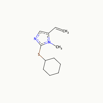 C=Cc1cnc(SC2CCCCC2)n1C